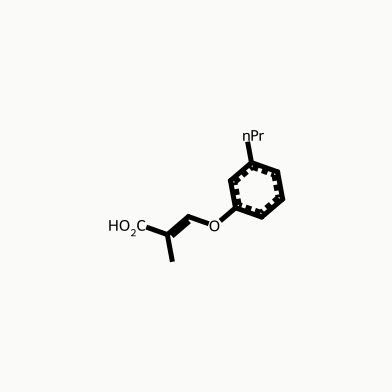 CCCc1cccc(OC=C(C)C(=O)O)c1